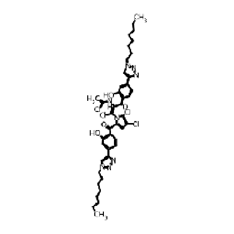 C=C(Cl)N/C(C(=O)c1ccc(-c2cn(CCCCCCCC)nn2)cc1O)=C(\Cl)n1c(C(=O)c2ccc(-c3cn(CCCCCCCC)nn3)cc2O)cc(Cl)c1Cl